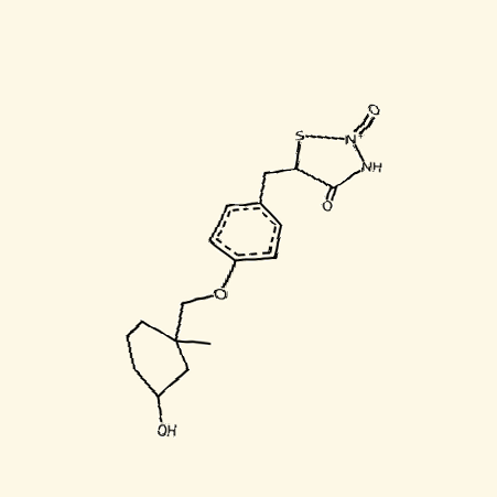 CC1(COc2ccc(CC3S[N+](=O)NC3=O)cc2)CCCC(O)C1